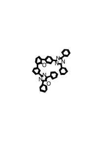 c1ccc(-c2nc(-c3ccccc3)nc(-c3ccc4c(c3)oc3c(-c5cccc(-c6nc(-c7ccccc7)c7oc8ccccc8c7n6)c5)cccc34)n2)cc1